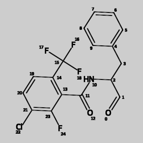 O=CC(Cc1ccccc1)NC(=O)c1c(C(F)(F)F)ccc(Cl)c1F